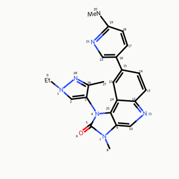 CCn1cc(-n2c(=O)n(C)c3cnc4ccc(-c5ccc(NC)nc5)cc4c32)c(C)n1